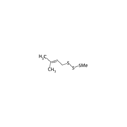 CSSSCC=C(C)C